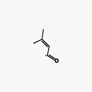 CC(C)=C[C]=O